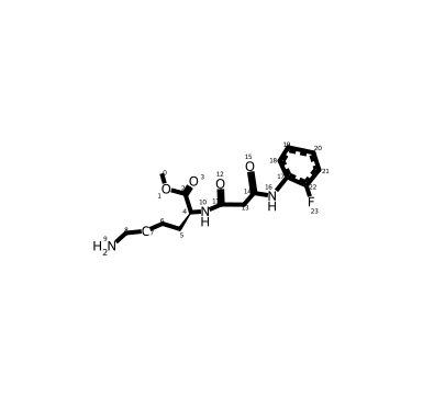 COC(=O)[C@H](CCCCN)NC(=O)CC(=O)Nc1ccccc1F